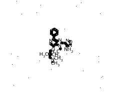 CCn1c(-c2nonc2N)nc2c(-c3ccccc3)ncc(OCC(C)(C)CN(C)C)c21